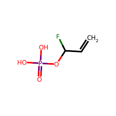 C=CC(F)OP(=O)(O)O